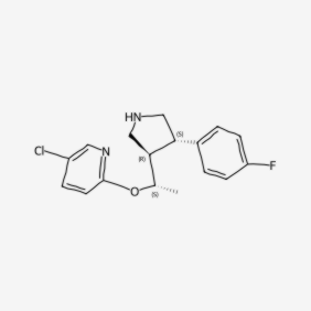 C[C@H](Oc1ccc(Cl)cn1)[C@H]1CNC[C@@H]1c1ccc(F)cc1